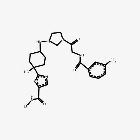 CCNC(=O)c1cnc(C2(O)CCC(N[C@H]3CCN(C(=O)CNC(=O)c4cccc(C(F)(F)F)c4)C3)CC2)s1